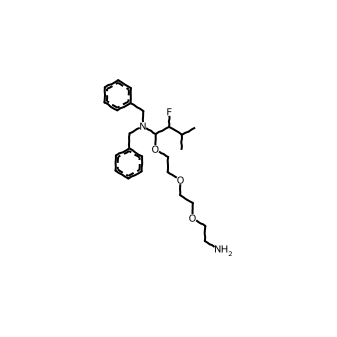 CC(C)C(F)C(OCCOCCOCCN)N(Cc1ccccc1)Cc1ccccc1